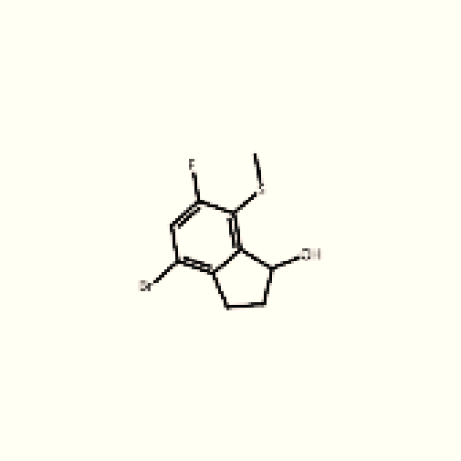 CSc1c(F)cc(Br)c2c1C(O)CC2